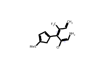 C=C/C(=C(C1=CC=C(SC)C1)\C(Cl)=C/N)C(F)(F)F